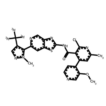 [2H]C([2H])([2H])c1cnn(C)c1-c1cc2sc(NC(=O)c3c(-c4ccncc4OC)cc(C)nc3Cl)nc2cn1